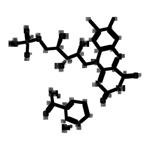 Cc1cc2nc3c(=O)[nH]c(=O)nc-3n(C[C@H](O)[C@H](O)[C@H](O)COP(=O)([O-])O)c2cc1C.NC(=O)c1cccnc1.[Na+]